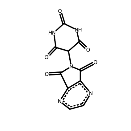 O=C1NC(=O)C(N2C(=O)c3nccnc3C2=O)C(=O)N1